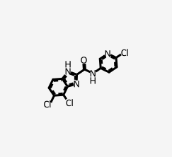 O=C(Nc1ccc(Cl)nc1)c1nc2c(Cl)c(Cl)ccc2[nH]1